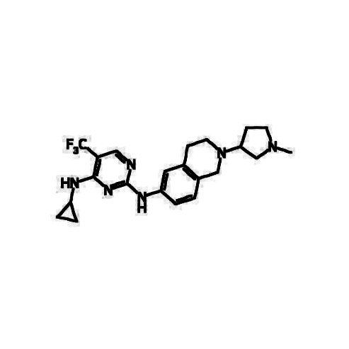 CN1CCC(N2CCc3cc(Nc4ncc(C(F)(F)F)c(NC5CC5)n4)ccc3C2)C1